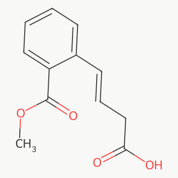 COC(=O)c1ccccc1C=CCC(=O)O